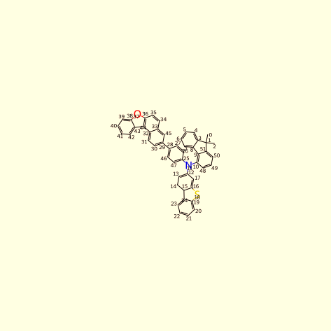 CC1(C)c2ccccc2-c2c(N(C3=CCC4C(=C3)Sc3ccccc34)c3ccc(-c4ccc5c(ccc6oc7ccccc7c65)c4)cc3)cccc21